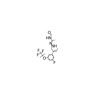 C/C=C(\CN/N=C(\C)NC=O)c1cc(F)cc(OC(C)(C)C(F)(F)F)c1